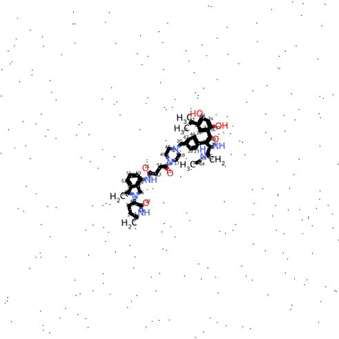 C=C1CCC(N2Cc3c(NC(=O)CCC(=O)N4CCN(Cc5ccc(C6=C(c7cc(C(C)C)c(O)cc7O)ONC6C(=C)NCC)cc5)CC4)cccc3C2=C)C(=O)N1